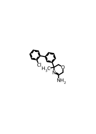 CC1(c2cccc(-c3ccccc3Cl)c2)COCC(N)=N1